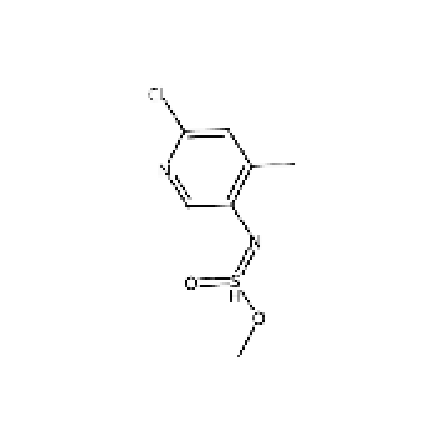 CO[SH](=O)=Nc1cnc(Cl)cc1C